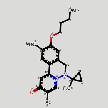 COCCCOc1cc2c(cc1OC)-c1cc(=O)c(C(C)=O)cn1N(C1(C(F)(F)F)CC1)C2